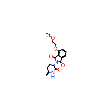 C=C1CCC(N2C(=O)c3cccc(OCCOCC)c3C2=O)C(=O)N1